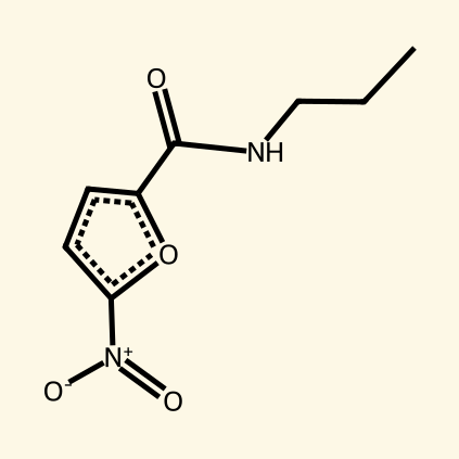 CCCNC(=O)c1ccc([N+](=O)[O-])o1